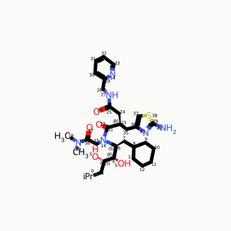 CC(C)C[C@H](O)[C@H](O)[C@H](CC1CCCCC1)N(CC(=O)N(C)C)C(=O)[C@@H](CC(=O)NCc1ccccn1)Cc1csc(N)n1